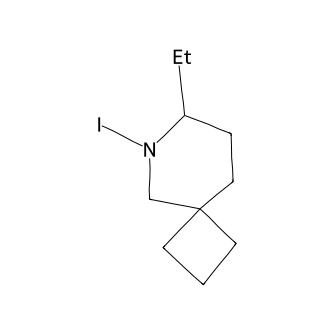 CCC1CCC2(CCC2)CN1I